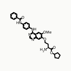 COc1cc2c(Nc3ccc(NC(=O)c4ccccc4)cc3)ncnc2cc1OCC[C@H](N)C(=O)OC1CCCC1